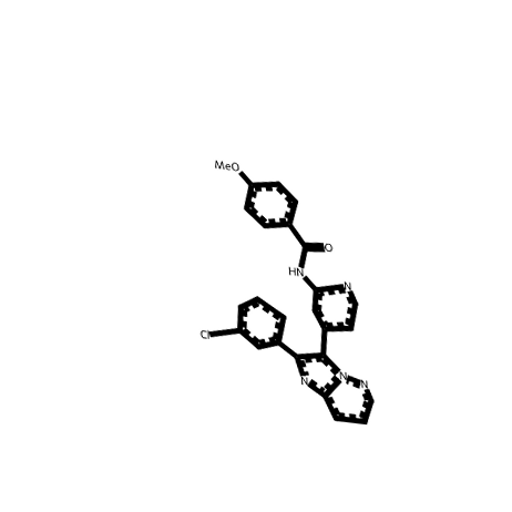 COc1ccc(C(=O)Nc2cc(-c3c(-c4cccc(Cl)c4)nc4cccnn34)ccn2)cc1